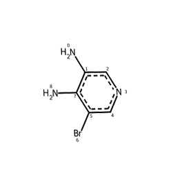 Nc1cncc(Br)c1N